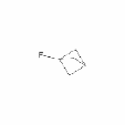 FC12CC(C1)C2